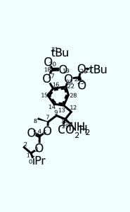 CC(C)C(C)OC(=O)O[C@@H](C)CC(N)(Cc1ccc(OC(=O)OC(C)(C)C)c(OC(=O)OC(C)(C)C)c1)C(=O)O